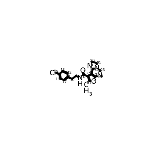 Cc1oc2c(c1C(=O)NCCc1ccc(Cl)cc1)C1=NCCN1C=N2